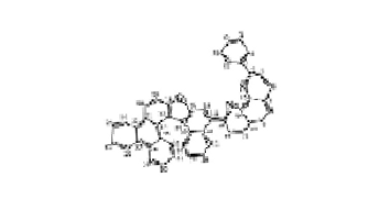 c1ccc(-c2ccc3ccc4ccc(-c5cc6oc7ccc8c9ccccc9c9ccccc9c8c7c6c6ccccc56)nc4c3n2)cc1